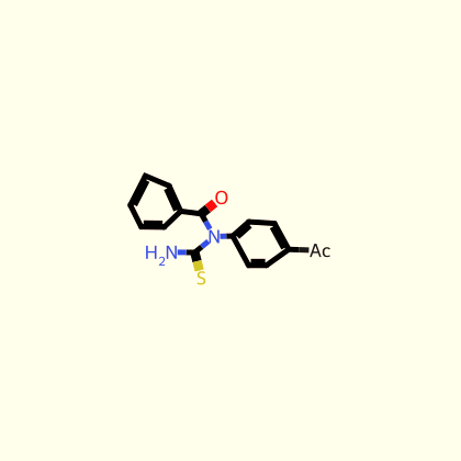 CC(=O)c1ccc(N(C(=O)c2ccccc2)C(N)=S)cc1